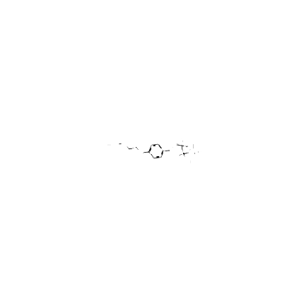 CCCCCOCCOc1ccc(B2OC(C)(C)C(C)(C)O2)cc1